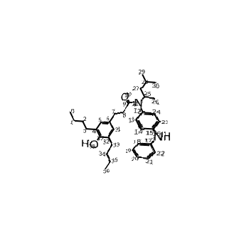 CCCCc1cc(CCC(=O)N(c2ccc(Nc3ccccc3)cc2)C(C)CC(C)C)cc(CCCC)c1O